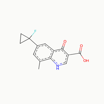 Cc1cc(C2(F)CC2)cc2c(=O)c(C(=O)O)c[nH]c12